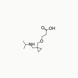 CC(C)NCC1(COCCC(=O)O)CC1